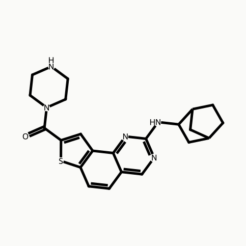 O=C(c1cc2c(ccc3cnc(NC4CC5CCC4C5)nc32)s1)N1CCNCC1